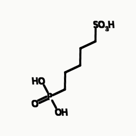 O=P(O)(O)CCCCCS(=O)(=O)O